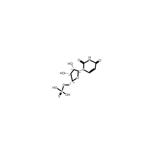 O=c1ccn([C@@H]2O[C@H](COP(O)(O)=S)[C@H](O)[C@@H]2O)c(=O)[nH]1